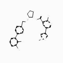 Cc1c(N)cccc1-c1ccc(CO[C@H]2CCC[C@@H]2NC(=O)c2cc(-c3cnn(C)c3)cnc2N)cc1